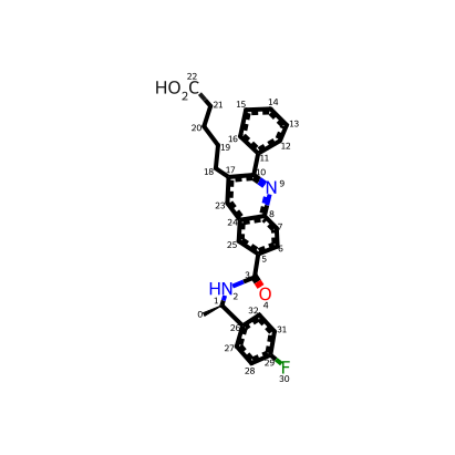 C[C@@H](NC(=O)c1ccc2nc(-c3ccccc3)c(CCCCC(=O)O)cc2c1)c1ccc(F)cc1